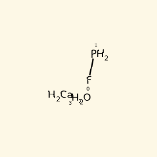 FP.O.[CaH2]